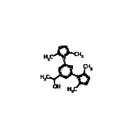 Cc1ccc(C)n1-c1cc(C(C)O)cc(-n2c(C)ccc2C)n1